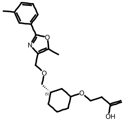 C=C(O)CCOC1CCC[C@H](COCc2nc(-c3cccc(C)c3)oc2C)C1